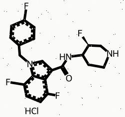 Cl.O=C(NC1CCNC[C@@H]1F)c1cn(Cc2ccc(F)cc2)c2c(F)ccc(F)c12